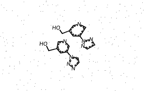 OCc1cncc(-n2ccnn2)c1.OCc1cncc(-n2nccn2)c1